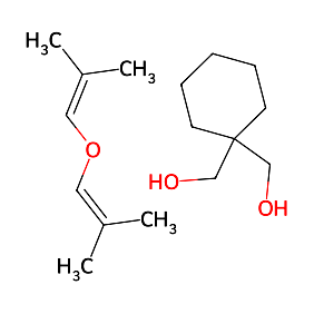 CC(C)=COC=C(C)C.OCC1(CO)CCCCC1